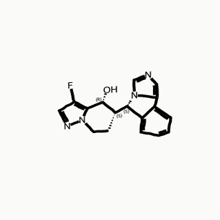 O[C@H]1c2c(F)cnn2CC[C@H]1[C@H]1c2ccccc2-c2cncn21